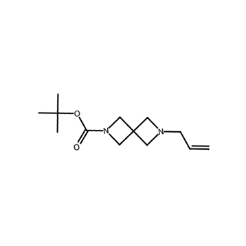 C=CCN1CC2(C1)CN(C(=O)OC(C)(C)C)C2